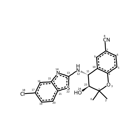 CC1(C)Oc2ccc(C#N)cc2[C@@H](Nc2nc3cc(Cl)ccc3s2)[C@@H]1O